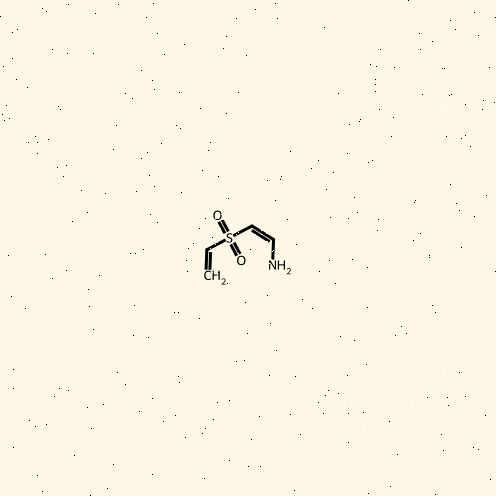 C=CS(=O)(=O)/C=C\N